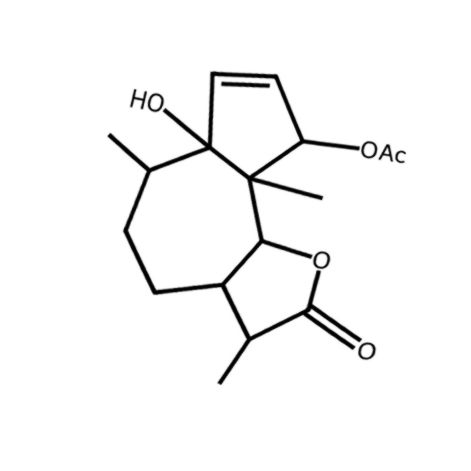 CC(=O)OC1C=CC2(O)C(C)CCC3C(C)C(=O)OC3C12C